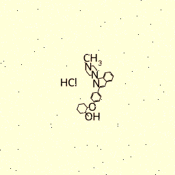 CCN1CCN(c2nc(-c3ccc(OC4CCCCC4O)cc3)cc3ccccc23)CC1.Cl